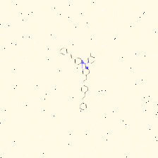 Cc1ccc(N(c2ccc(C=Cc3ccccc3)cc2)c2ccc(C=Cc3ccc(C=Cc4ccccc4)cc3)cc2)cc1C